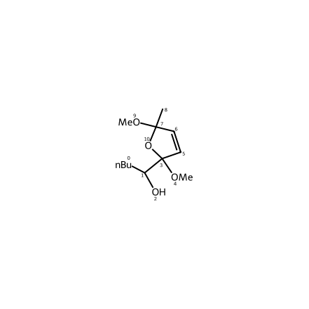 CCCCC(O)C1(OC)C=CC(C)(OC)O1